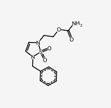 NC(=O)OCCN1C=CN(Cc2ccccc2)S1(=O)=O